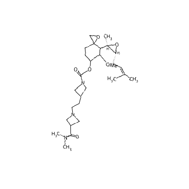 COC1C(OC(=O)N2CC(CCN3CC(C(=O)N(C)C)C3)C2)CCC2(CO2)C1[C@@]1(C)O[C@@H]1CC=C(C)C